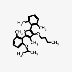 CCCCOc1c(-c2c(C)cccc2C)sc(-c2c(C)cccc2OC(C)C)c1C